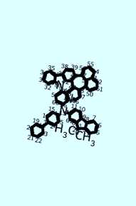 CC1(C)c2ccccc2-c2ccc(N(c3ccc(-c4ccccc4)cc3)c3ccc(-n4c5ccccc5c5ccc6c(c54)-c4cnccc4-c4cccc5cccc-6c45)cc3)cc21